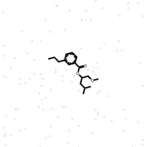 CCCc1cccc(C(=O)OC(COC)CC(C)C)c1